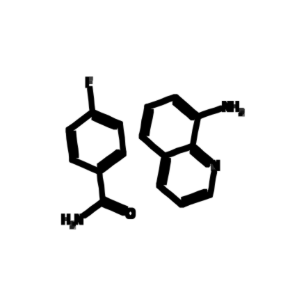 NC(=O)c1ccc(F)cc1.Nc1cccc2cccnc12